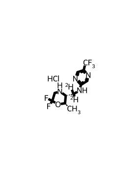 Cl.[2H]C([2H])(Nc1cnc(C(F)(F)F)cn1)[C@H]1NCC(F)(F)O[C@H]1C